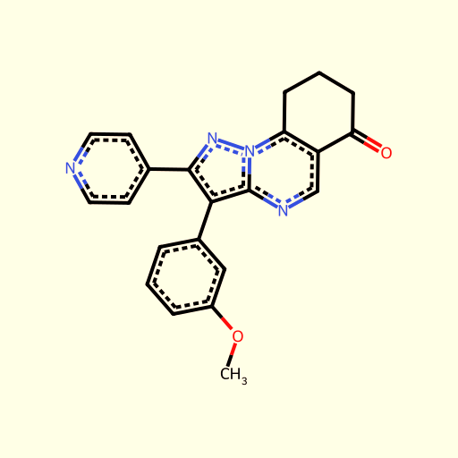 COc1cccc(-c2c(-c3ccncc3)nn3c4c(cnc23)C(=O)CCC4)c1